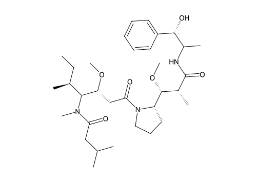 CC[C@H](C)C([C@@H](CC(=O)N1CCC[C@H]1[C@H](OC)[C@@H](C)C(=O)NC(C)[C@@H](O)c1ccccc1)OC)N(C)C(=O)CC(C)C